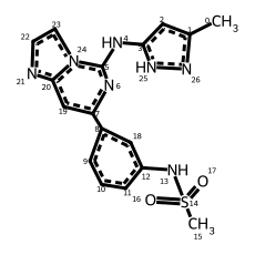 Cc1cc(Nc2nc(-c3cccc(NS(C)(=O)=O)c3)cc3nccn23)[nH]n1